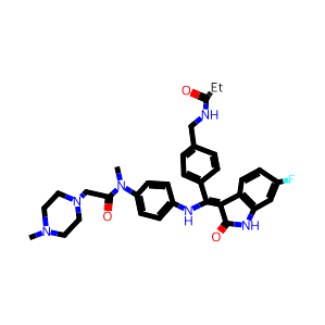 CCC(=O)NCc1ccc(/C(Nc2ccc(N(C)C(=O)CN3CCN(C)CC3)cc2)=C2/C(=O)Nc3cc(F)ccc32)cc1